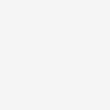 Cc1c(C(=O)O)cn(C)c1-c1cc(F)ccc1OCc1ccccc1